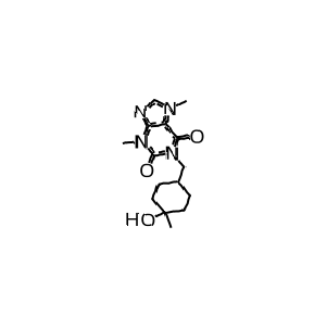 Cn1cnc2c1c(=O)n(CC1CCC(C)(O)CC1)c(=O)n2C